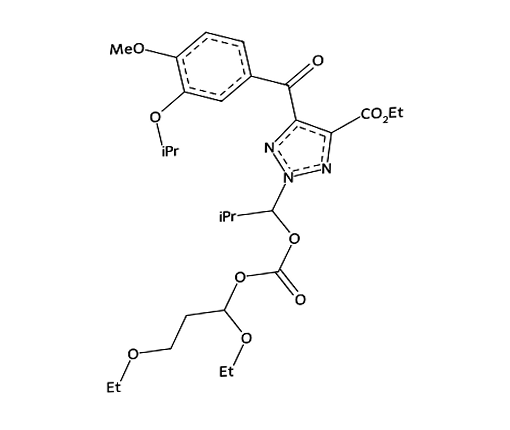 CCOCCC(OCC)OC(=O)OC(C(C)C)n1nc(C(=O)OCC)c(C(=O)c2ccc(OC)c(OC(C)C)c2)n1